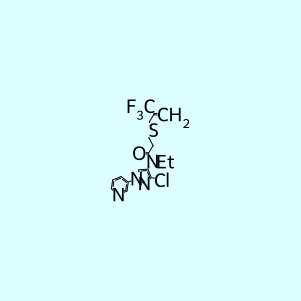 C=C(CSCCC(=O)N(CC)c1cn(-c2cccnc2)nc1Cl)C(F)(F)F